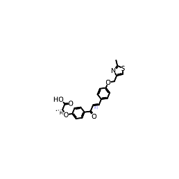 Cc1nc(COc2ccc(/C=C/C(=O)c3ccc(O[C@H](C)C(=O)O)cc3)cc2)cs1